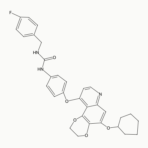 O=C(NCc1ccc(F)cc1)Nc1ccc(Oc2ccnc3cc(OC4CCCCC4)c4c(c23)OCCO4)cc1